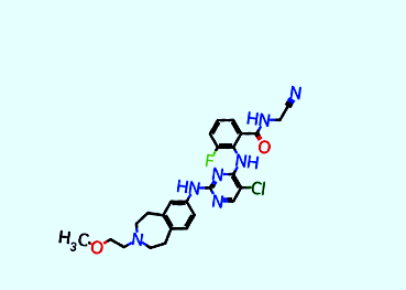 COCCN1CCc2ccc(Nc3ncc(Cl)c(Nc4c(F)cccc4C(=O)NCC#N)n3)cc2CC1